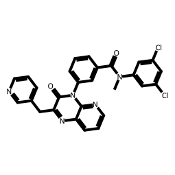 CN(C(=O)c1cccc(-n2c(=O)c(Cc3cccnc3)nc3cccnc32)c1)c1cc(Cl)cc(Cl)c1